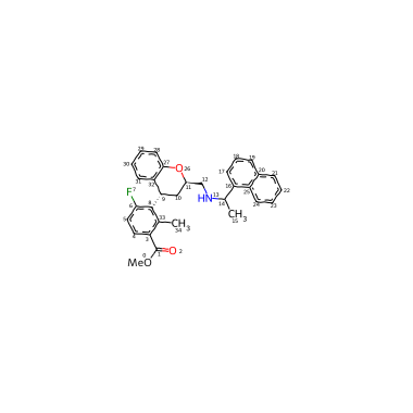 COC(=O)c1ccc(F)c([C@H]2C[C@H](CNC(C)c3cccc4ccccc34)Oc3ccccc32)c1C